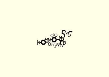 C=CC(=O)N1CCCC1Cn1nc(-c2ccc(NC(=O)c3ccc(N(C)C)cc3)c3c2OCO3)c2c(N)ncnc21